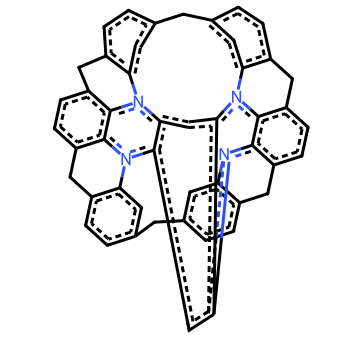 c1cc2c3cc1Cc1ccc4c(c1)-n1c5cc6c7cc5n5c8c(ccc(c81)C4)Cc1ccc(cc1-5)Cc1ccc4c(c1)-n7c1c(ccc(c1n6-3)C2)C4